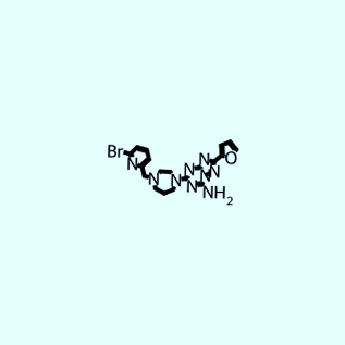 Nc1nc(N2CCCN(Cc3cccc(Br)n3)CC2)nc2nc(-c3ccco3)nn12